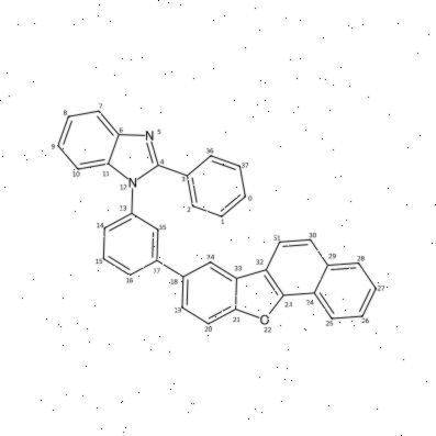 c1ccc(-c2nc3ccccc3n2-c2cccc(-c3ccc4oc5c6ccccc6ccc5c4c3)c2)cc1